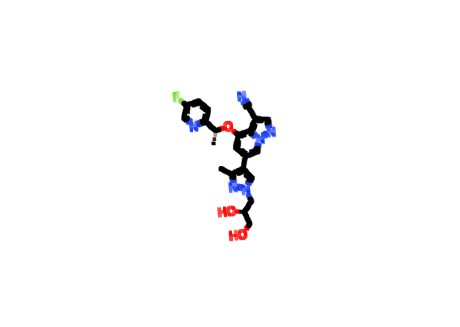 Cc1nn(C[C@H](O)CO)cc1-c1cc(O[C@H](C)c2ccc(F)cn2)c2c(C#N)cnn2c1